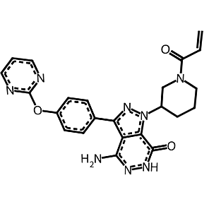 C=CC(=O)N1CCCC(n2nc(-c3ccc(Oc4ncccn4)cc3)c3c(N)n[nH]c(=O)c32)C1